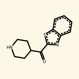 O=C(c1nc2ccccc2s1)C1CCNCC1